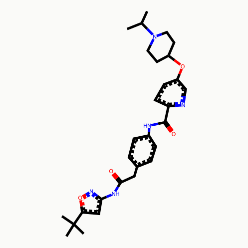 CC(C)N1CCC(Oc2ccc(C(=O)Nc3ccc(CC(=O)Nc4cc(C(C)(C)C)on4)cc3)nc2)CC1